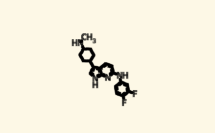 CNC1CCC(c2c[nH]c3nc(Nc4ccc(F)c(F)c4)ccc23)CC1